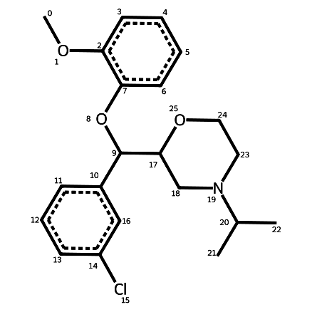 COc1ccccc1OC(c1cccc(Cl)c1)C1CN(C(C)C)CCO1